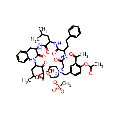 CC(=O)Oc1ccc(C[N+]2(CC(=O)NC(CCc3ccccc3)C(=O)NC(CC(C)C)C(=O)NC(Cc3ccccc3)C(=O)NC(CC(C)C)C(=O)[C@@]3(C)CO3)CCOCC2)cc1C(C)=O.CS(=O)(=O)[O-]